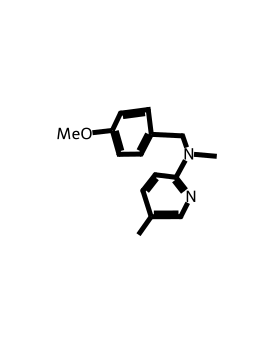 COc1ccc(CN(C)c2ccc(C)cn2)cc1